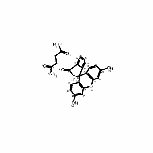 NC(=O)CCC(N)=O.O=C1OC2(c3ccc(O)cc3Oc3cc(O)ccc32)c2ccccc21